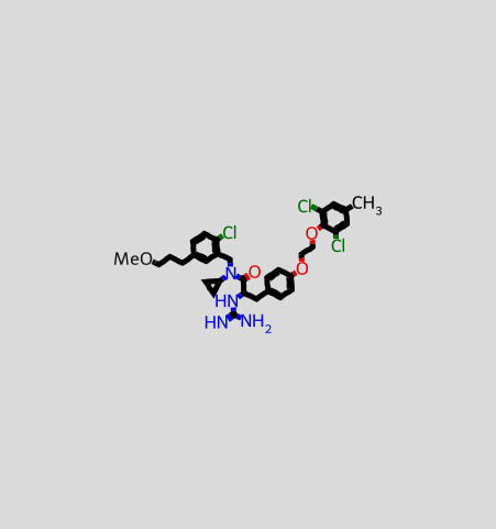 COCCCc1ccc(Cl)c(CN(C(=O)C(Cc2ccc(OCCOc3c(Cl)cc(C)cc3Cl)cc2)NC(=N)N)C2CC2)c1